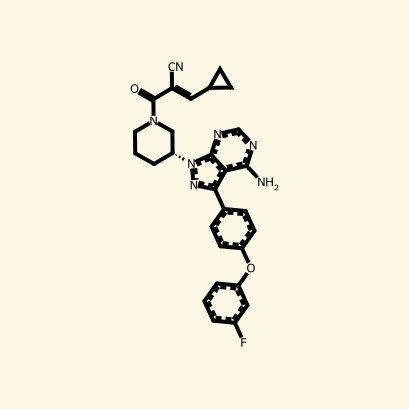 N#CC(=CC1CC1)C(=O)N1CCC[C@@H](n2nc(-c3ccc(Oc4cccc(F)c4)cc3)c3c(N)ncnc32)C1